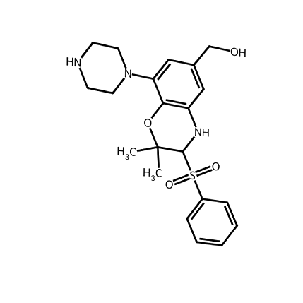 CC1(C)Oc2c(cc(CO)cc2N2CCNCC2)NC1S(=O)(=O)c1ccccc1